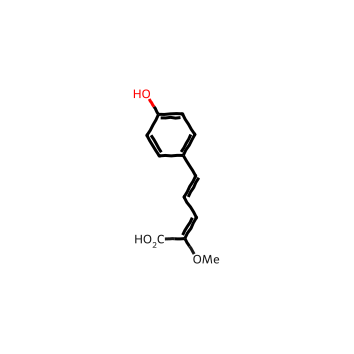 CO/C(=C/C=C/c1ccc(O)cc1)C(=O)O